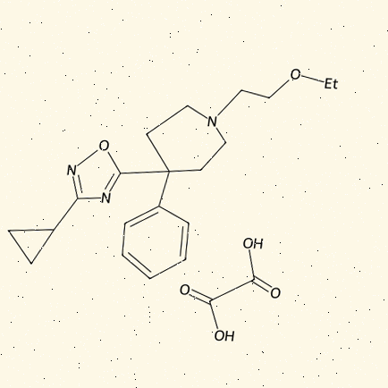 CCOCCN1CCC(c2ccccc2)(c2nc(C3CC3)no2)CC1.O=C(O)C(=O)O